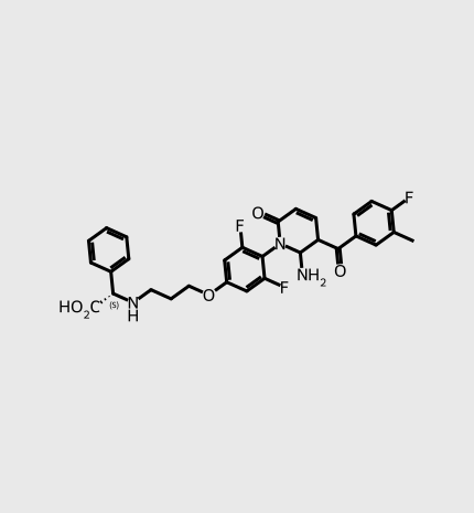 Cc1cc(C(=O)C2C=CC(=O)N(c3c(F)cc(OCCCN[C@H](C(=O)O)c4ccccc4)cc3F)C2N)ccc1F